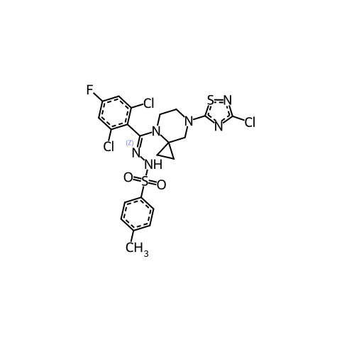 Cc1ccc(S(=O)(=O)N/N=C(/c2c(Cl)cc(F)cc2Cl)N2CCN(c3nc(Cl)ns3)CC23CC3)cc1